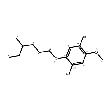 CCC(C)CCCOc1cc(C)c(OC)cc1C